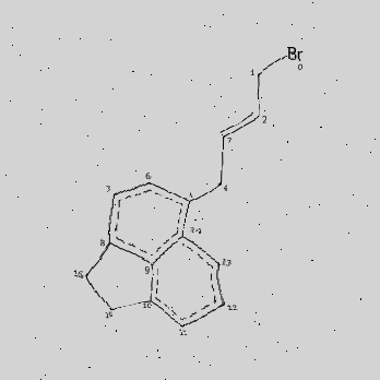 BrCC=CCc1ccc2c3c(cccc13)CC2